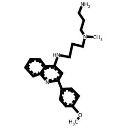 COc1ccc(-c2cc(NCCCN(C)CCCN)c3ccccc3n2)cc1